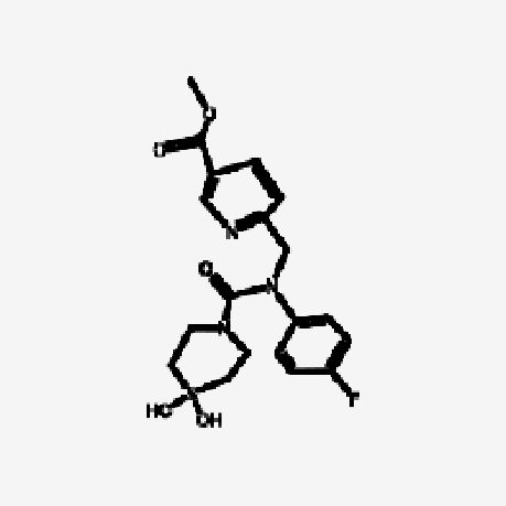 COC(=O)c1ccc(CN(C(=O)N2CCS(O)(O)CC2)c2ccc(F)cc2)nc1